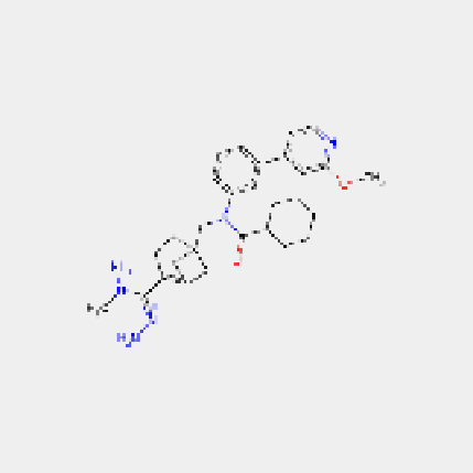 COc1cc(-c2cccc(N(CC34CCC(/C(=N/N)N(C)N)=C(C3)C4)C(=O)C3CCCCC3)c2)ccn1